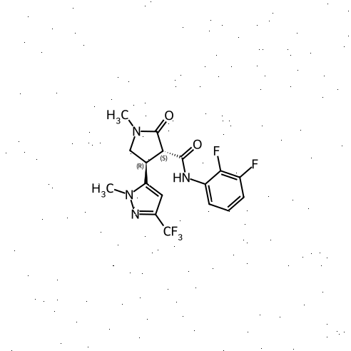 CN1C[C@H](c2cc(C(F)(F)F)nn2C)[C@@H](C(=O)Nc2cccc(F)c2F)C1=O